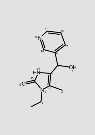 CCn1c(C)c(C(O)c2cccnc2)[nH]c1=O